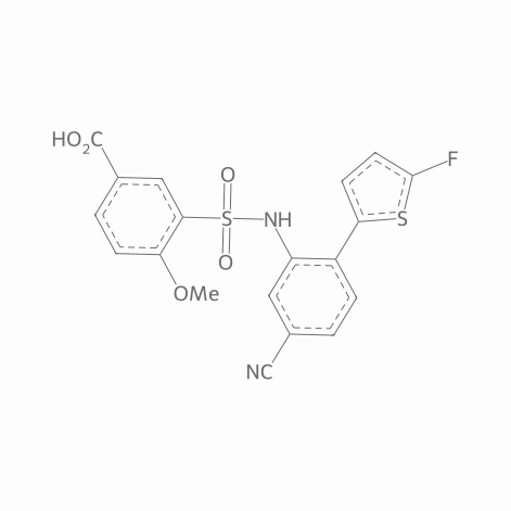 COc1ccc(C(=O)O)cc1S(=O)(=O)Nc1cc(C#N)ccc1-c1ccc(F)s1